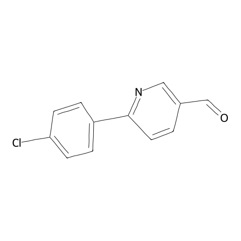 O=Cc1ccc(-c2ccc(Cl)cc2)nc1